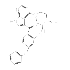 CC1CN(c2ncnc3[nH]cc(C(=O)c4ccc(Oc5ccccc5)cc4Cl)c23)CCN1C